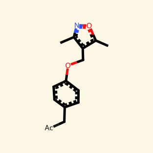 CC(=O)Cc1ccc(OCc2c(C)noc2C)cc1